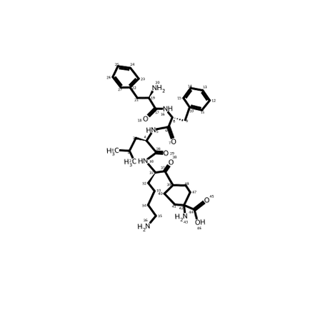 CC(C)C[C@@H](NC(=O)[C@@H](Cc1ccccc1)NC(=O)[C@H](N)Cc1ccccc1)C(=O)N[C@H](CCCCN)C(=O)C1CCC(N)(C(=O)O)CC1